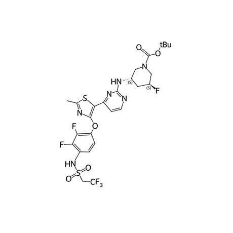 Cc1nc(Oc2ccc(NS(=O)(=O)CC(F)(F)F)c(F)c2F)c(-c2ccnc(N[C@H]3C[C@H](F)CN(C(=O)OC(C)(C)C)C3)n2)s1